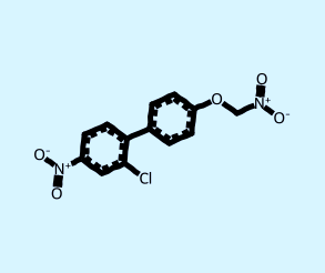 O=[N+]([O-])COc1ccc(-c2ccc([N+](=O)[O-])cc2Cl)cc1